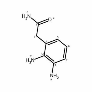 NC(=O)Cc1cccc(N)c1N